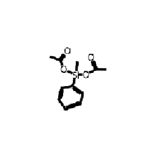 CC(=O)O[Si](C)(OC(C)=O)c1ccccc1